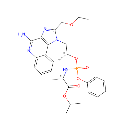 CCOCc1nc2c(N)nc3ccccc3c2n1C[C@@H](C)OP(=O)(N[C@@H](C)C(=O)OC(C)C)Oc1ccccc1